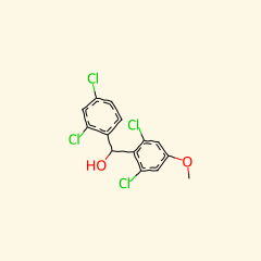 COc1cc(Cl)c(C(O)c2ccc(Cl)cc2Cl)c(Cl)c1